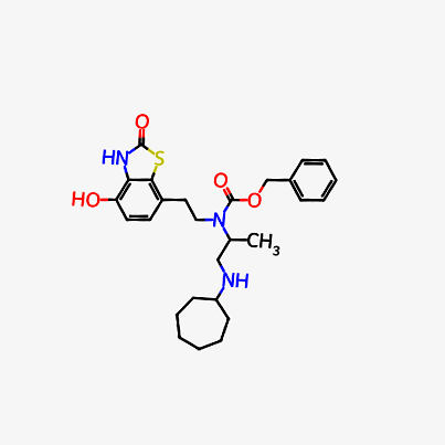 CC(CNC1CCCCCC1)N(CCc1ccc(O)c2[nH]c(=O)sc12)C(=O)OCc1ccccc1